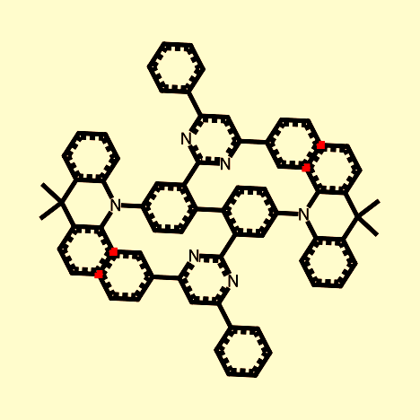 CC1(C)c2ccccc2N(c2ccc(-c3ccc(N4c5ccccc5C(C)(C)c5ccccc54)cc3-c3nc(-c4ccccc4)cc(-c4ccccc4)n3)c(-c3nc(-c4ccccc4)cc(-c4ccccc4)n3)c2)c2ccccc21